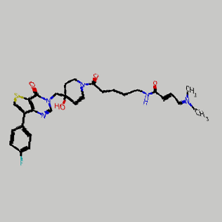 CN(C)C/C=C/C(=O)NCCCCC(=O)N1CCC(O)(Cn2cnc3c(-c4ccc(F)cc4)csc3c2=O)CC1